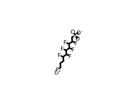 O=S(=O)([O-])CC(F)C(F)C(F)C(F)C(F)C(F)CCCF.[Li+]